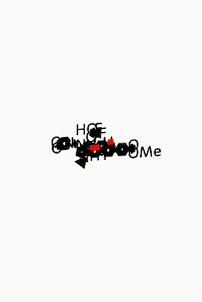 COC(=O)c1ccc(C2=CC[C@]3(C)[C@H]4CC[C@@H]5[C@H]6[C@H](C7(C)CC7)CC[C@]6(NCCN6CCS(=O)(=O)CC6)CC[C@@]5(C)[C@]4(C)CC[C@H]3C2(C)C)cc1.O=C(O)C(F)(F)F